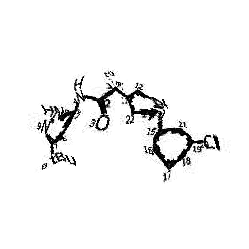 C[C@@H](C(=O)Nc1cc(C(C)(C)C)n[nH]1)c1cnn(-c2cccc(Cl)c2)c1